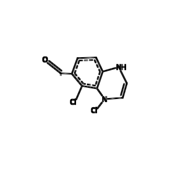 O=[C]c1ccc2c(c1Cl)N(Cl)C=CN2